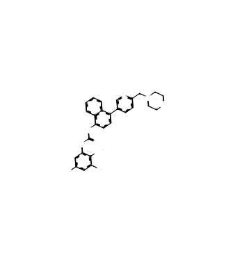 CCCc1cc(C(C)(C)C)cc(NC(=O)Nc2ccc(-c3ccc(CN4CCOCC4)nc3)c3ccccc23)c1OC